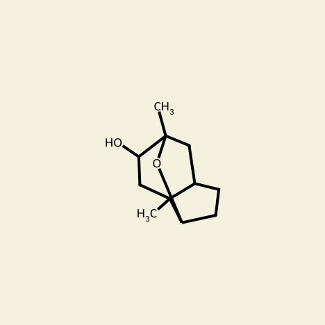 CC12CC3CCC(O1)C3(C)CC2O